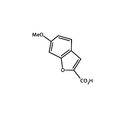 COc1ccc2cc(C(=O)O)oc2c1